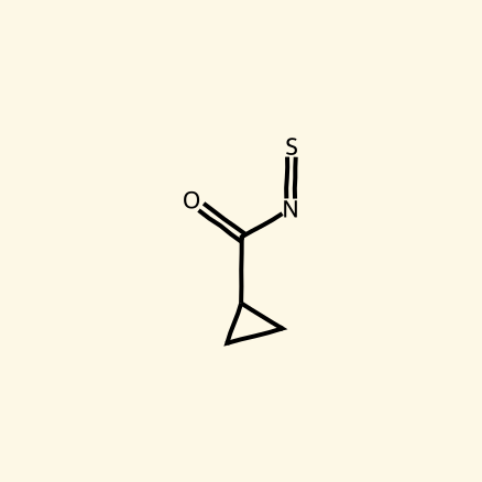 O=C(N=S)C1CC1